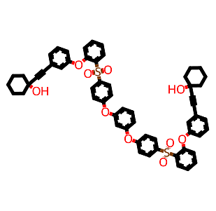 O=S(=O)(c1ccc(Oc2cccc(Oc3ccc(S(=O)(=O)c4ccccc4Oc4cccc(C#CC5(O)CCCCC5)c4)cc3)c2)cc1)c1ccccc1Oc1cccc(C#CC2(O)CCCCC2)c1